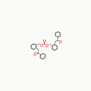 O=C(OCc1ccccc1CC(=O)c1ccccc1)OCc1ccccc1CC(=O)c1ccccc1